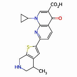 CC1CNCc2sc(-c3ccc4c(=O)c(C(=O)O)cn(C5CC5)c4n3)cc21